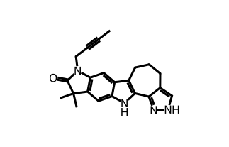 CC#CCN1C(=O)C(C)(C)c2cc3[nH]c4c(c3cc21)CCCc1c[nH]nc1-4